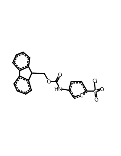 O=C(Nc1ccc(S(=O)(=O)Cl)cc1)OCC1c2ccccc2-c2ccccc21